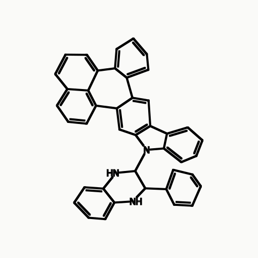 c1ccc(C2Nc3ccccc3NC2n2c3ccccc3c3cc4c(cc32)-c2cccc3cccc(c23)-c2ccccc2-4)cc1